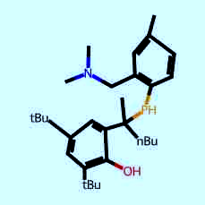 CCCCC(C)(Pc1ccc(C)cc1CN(C)C)c1cc(C(C)(C)C)cc(C(C)(C)C)c1O